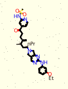 C=C(CCC(=O)c1ccnc(NS(C)(=O)=O)c1)[C@H](C)C[C@H](CCC)N1Cc2cnc(Nc3cccc(OCC)c3)nc2C1